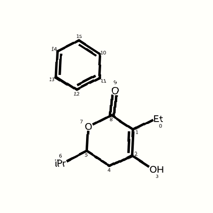 CCC1=C(O)CC(C(C)C)OC1=O.c1ccccc1